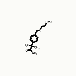 COCCOCc1ccc(C(C)(C)C(N)=O)cc1